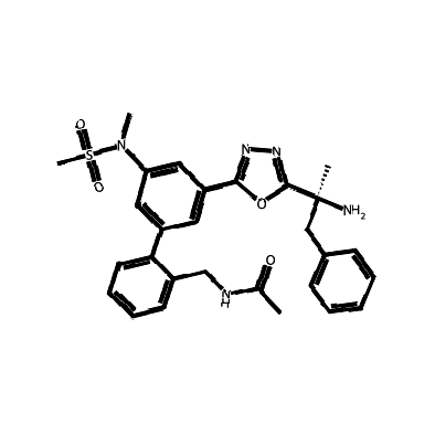 CC(=O)NCc1ccccc1-c1cc(-c2nnc([C@@](C)(N)Cc3ccccc3)o2)cc(N(C)S(C)(=O)=O)c1